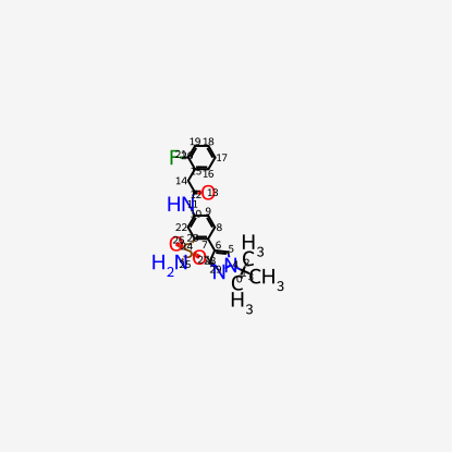 CC(C)(C)n1cc(-c2ccc(NC(=O)Cc3ccccc3F)cc2S(N)(=O)=O)cn1